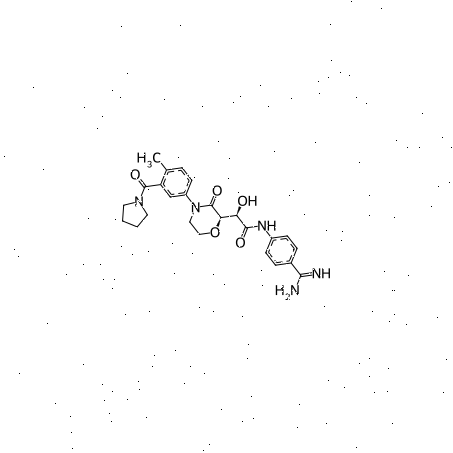 Cc1ccc(N2CCO[C@H]([C@@H](O)C(=O)Nc3ccc(C(=N)N)cc3)C2=O)cc1C(=O)N1CCCC1